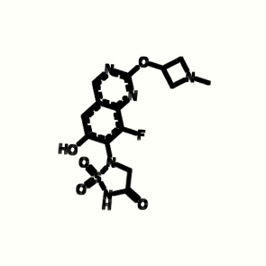 CN1CC(Oc2ncc3cc(O)c(N4CC(=O)NS4(=O)=O)c(F)c3n2)C1